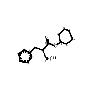 Cl.N[C@@H](Cc1ccccc1)C(=O)OC1CCCCC1